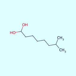 CC(C)CCCCCC(O)O